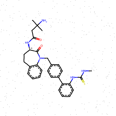 CNC(=S)Nc1ccccc1-c1ccc(CN2C(=O)[C@H](NC(=O)CC(C)(C)N)CCc3ccccc32)cc1